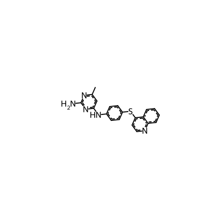 Cc1cc(Nc2ccc(Sc3ccnc4ccccc34)cc2)nc(N)n1